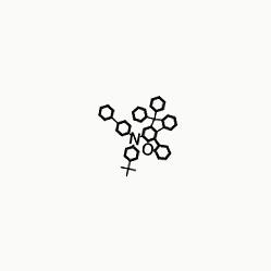 CC(C)(C)c1ccc(N(c2ccc(-c3ccccc3)cc2)c2cc3c(c4c2oc2ccccc24)-c2ccccc2C3(c2ccccc2)c2ccccc2)cc1